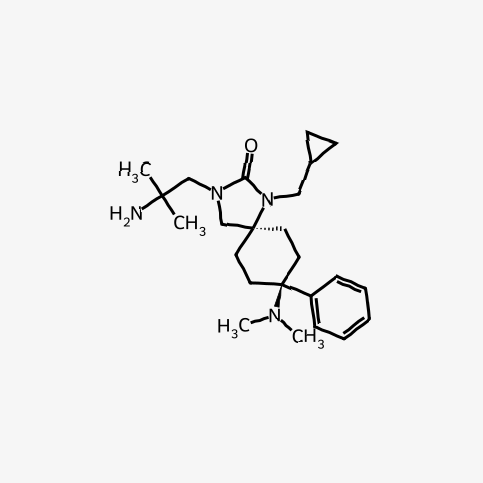 CN(C)[C@]1(c2ccccc2)CC[C@]2(CC1)CN(CC(C)(C)N)C(=O)N2CC1CC1